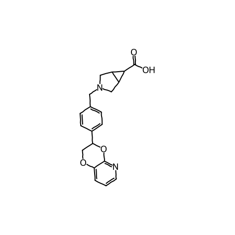 O=C(O)C1C2CN(Cc3ccc(C4COc5cccnc5O4)cc3)CC21